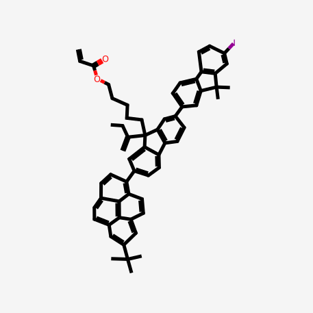 C=CC(=O)OCCCCCC1(C(=C)CC)c2cc(-c3ccc4c(c3)C(C)(C)c3cc(I)ccc3-4)ccc2-c2ccc(-c3ccc4ccc5cc(C(C)(C)C)cc6ccc3c4c56)cc21